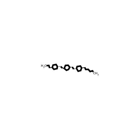 CCCCCC[C@H]1CC[C@H](CC[C@H]2CC[C@H](CC[C@H]3CC[C@H](CCC)CC3)CC2)CC1